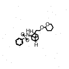 CC1(C)[C@@H]2CC[C@H](CCOC3CCCCO3)[C@@]1(NS(=O)(=O)c1ccccc1)C2